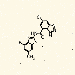 Cc1cc(F)c2nc(NC(=O)c3cc(Cl)cc4nn[nH]c34)sc2c1